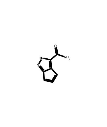 NC(=O)c1[nH]nc2c1C=C=C2